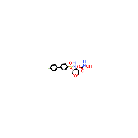 O=C(NO)OC1(NS(=O)(=O)c2ccc(-c3ccc(F)cc3)cc2)CCOCC1